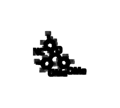 COc1ccc(-c2oc3cc(C)cc(C#N)c3c2-c2cc(C)cc(OC)c2)cc1